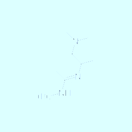 C/C(=N\C(C)CN(C)C)NC(C)(C)C